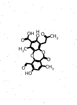 CC(=O)Cc1c(O)c(C(=O)O)c(C)c2c1OC(=O)c1c(C)cc(O)c(C=O)c1O2